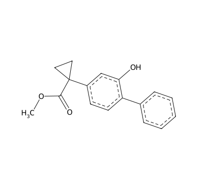 COC(=O)C1(c2ccc(-c3ccccc3)c(O)c2)CC1